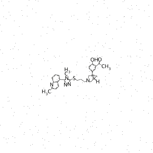 CC(=O)c1cc([C@@]23C[C@@H]2CN(CCCSc2nnc(-c4cccc5nc(C)ccc45)n2C)C3)ccc1O